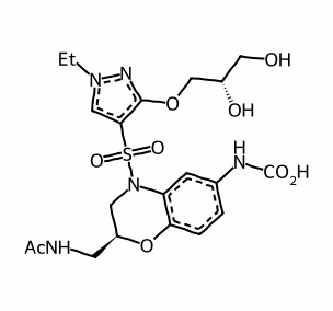 CCn1cc(S(=O)(=O)N2C[C@H](CNC(C)=O)Oc3ccc(NC(=O)O)cc32)c(OC[C@@H](O)CO)n1